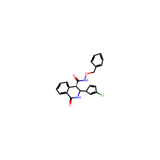 O=C1NC(C2C=CC(Cl)=C2)[C@H](C(=O)NOCc2ccccc2)c2ccccc21